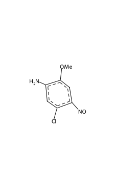 COc1cc(N=O)c(Cl)cc1N